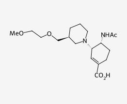 COCCOC[C@H]1CCCN([C@H]2C=C(C(=O)O)CC[C@H]2NC(C)=O)C1